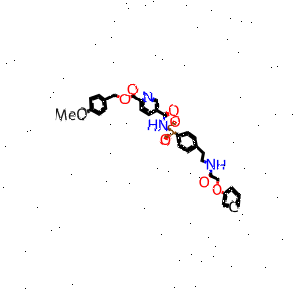 COc1ccc(COC(=O)c2ccc(C(=O)NS(=O)(=O)c3ccc(CCNC(=O)COc4ccccc4)cc3)cn2)cc1